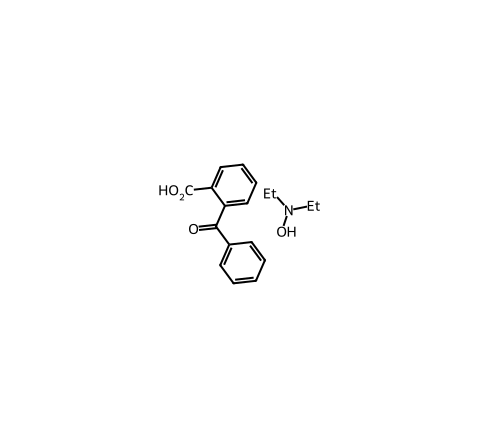 CCN(O)CC.O=C(O)c1ccccc1C(=O)c1ccccc1